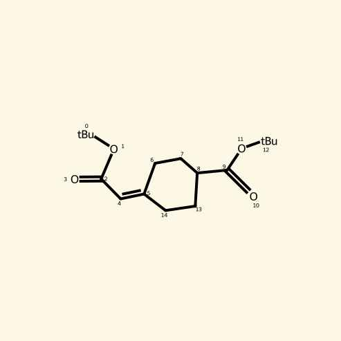 CC(C)(C)OC(=O)C=C1CCC(C(=O)OC(C)(C)C)CC1